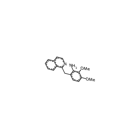 COc1ccc(Cc2nccc3ccccc23)c(N)c1OC